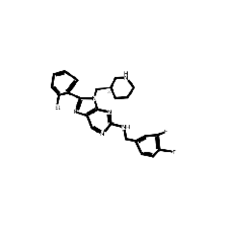 CCc1ccccc1-c1nc2cnc(NCc3ccc(F)c(F)c3)nc2n1C[C@@H]1CCCNC1